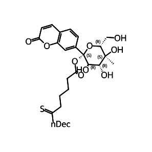 CCCCCCCCCCC(=S)CCCCC(=O)O[C@]1(c2ccc3ccc(=O)oc3c2)O[C@H](CO)[C@@](C)(O)[C@H](O)[C@H]1O